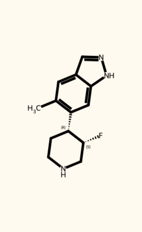 Cc1cc2cn[nH]c2cc1[C@H]1CCNC[C@H]1F